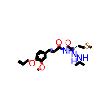 C=CCOc1ccc(/C=C/C(=O)NC(=O)[C@H](CCSC)NNC(C)C)cc1OC